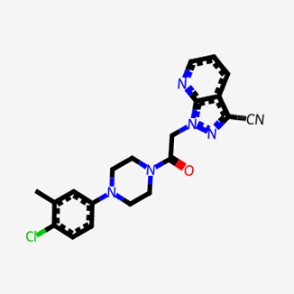 Cc1cc(N2CCN(C(=O)Cn3nc(C#N)c4cccnc43)CC2)ccc1Cl